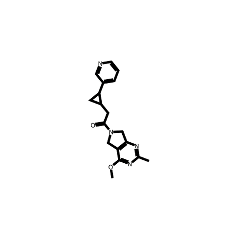 COc1nc(C)nc2c1CN(C(=O)CC1CC1c1cccnc1)C2